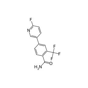 NC(=O)c1ccc(-c2ccc(F)nc2)cc1C(F)(F)F